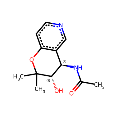 CC(=O)N[C@@H]1c2cnccc2OC(C)(C)[C@H]1O